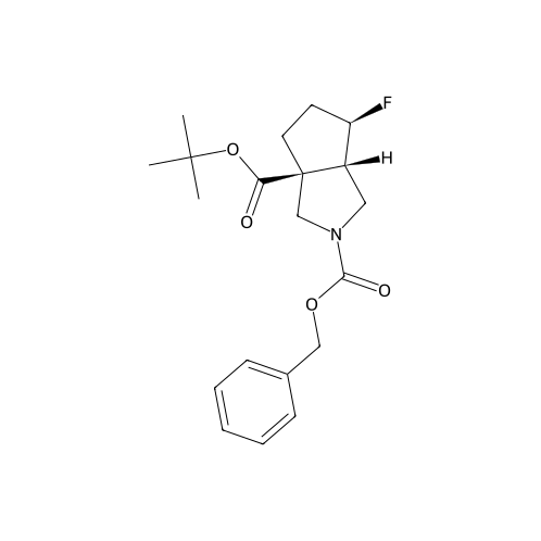 CC(C)(C)OC(=O)[C@@]12CC[C@@H](F)[C@@H]1CN(C(=O)OCc1ccccc1)C2